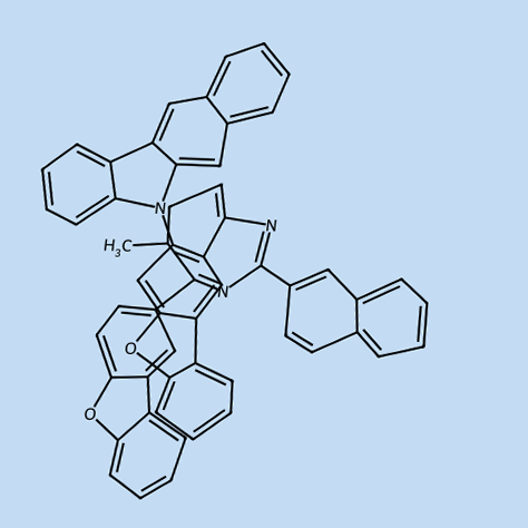 CC1C/C=C(c2cc3c(cc2-n2c4ccccc4c4cc5ccccc5cc42)oc2ccccc23)/N=C(c2ccc3ccccc3c2)\N=C/1c1ccc2oc3ccccc3c2c1